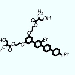 C=C(CO)C(=O)OCCOc1cc(OCCOC(=O)C(=C)CO)cc(-c2ccc(-c3ccc(C4CCC(CCC)CC4)cc3)c(CC)c2)c1